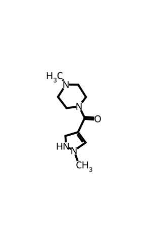 CN1CCN(C(=O)C2=CN(C)NC2)CC1